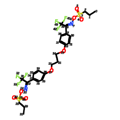 CCCS(=O)(=O)O/N=C(/c1ccc(OCCCOc2ccc(/C(=N/OS(=O)(=O)CCC)C(F)(F)F)cc2)cc1)C(F)(F)F